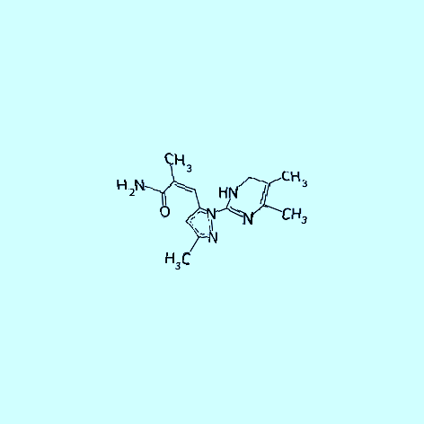 CC(=Cc1cc(C)nn1C1=NC(C)=C(C)CN1)C(N)=O